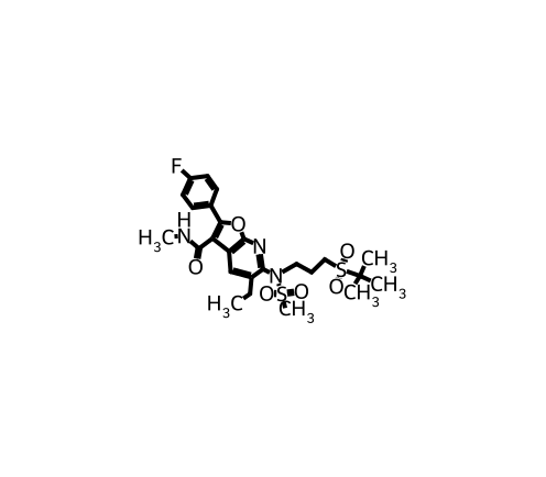 CCc1cc2c(C(=O)NC)c(-c3ccc(F)cc3)oc2nc1N(CCCS(=O)(=O)C(C)(C)C)S(C)(=O)=O